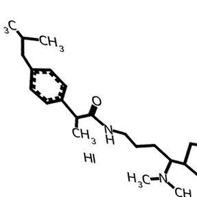 CC(C)Cc1ccc(C(C)C(=O)NCCCC(C2CCCCC2)N(C)C)cc1.I